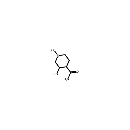 CC(C)N1CCC(C(N)=O)C(O)C1